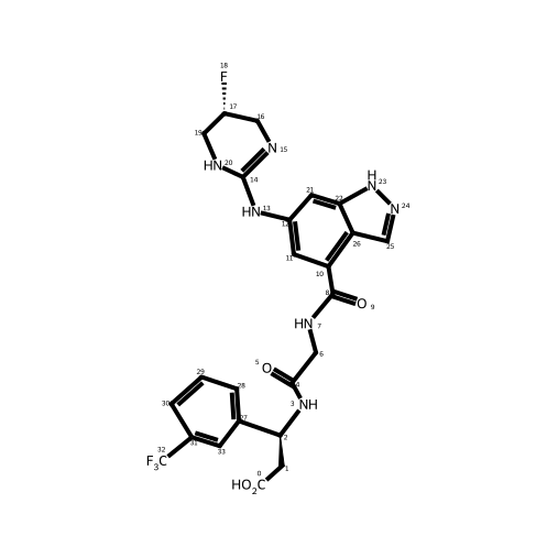 O=C(O)C[C@H](NC(=O)CNC(=O)c1cc(NC2=NC[C@@H](F)CN2)cc2[nH]ncc12)c1cccc(C(F)(F)F)c1